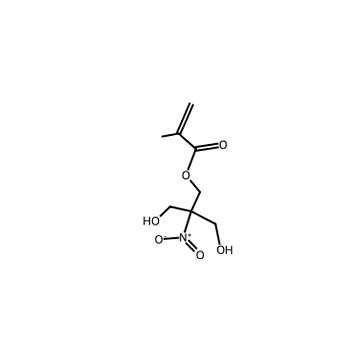 C=C(C)C(=O)OCC(CO)(CO)[N+](=O)[O-]